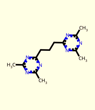 Cc1nc(C)nc(CCCc2nc(C)nc(C)n2)n1